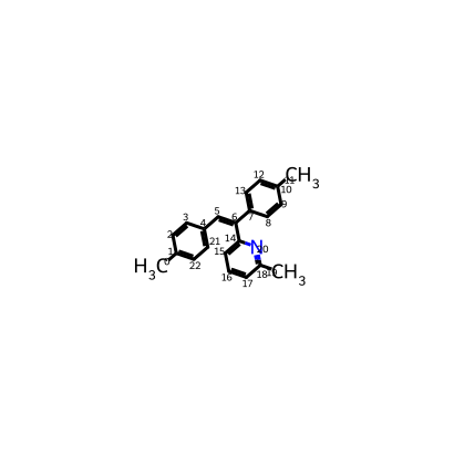 Cc1ccc(C=C(c2ccc(C)cc2)c2cccc(C)n2)cc1